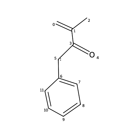 C=C(C)C(=O)[C]c1ccccc1